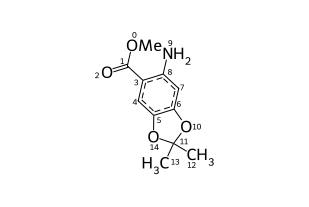 COC(=O)c1cc2c(cc1N)OC(C)(C)O2